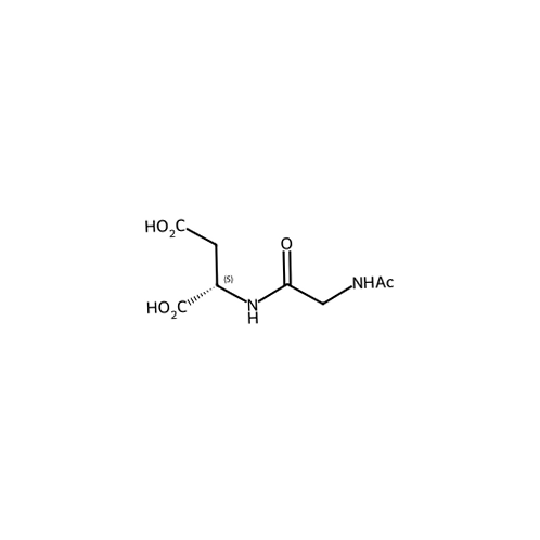 CC(=O)NCC(=O)N[C@@H](CC(=O)O)C(=O)O